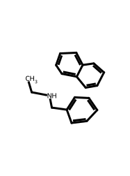 CCNCc1ccccc1.c1ccc2ccccc2c1